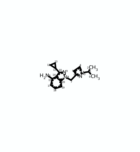 CC(C)n1ccc(Cn2nc(C3CC3)c3c(N)cccc32)n1